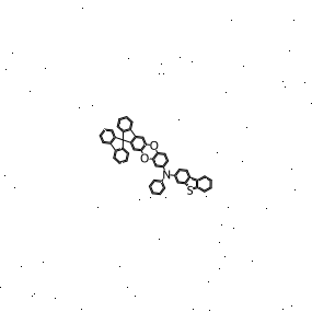 c1ccc(N(c2ccc3c(c2)Oc2cc4c(cc2O3)-c2ccccc2C42c3ccccc3-c3ccccc32)c2ccc3c(c2)sc2ccccc23)cc1